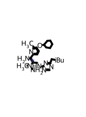 CCC(C)Cc1ncnc(NC/C(=C(/N)c2ccc(OC3CCCCC3)c(C)n2)N(C)N)n1